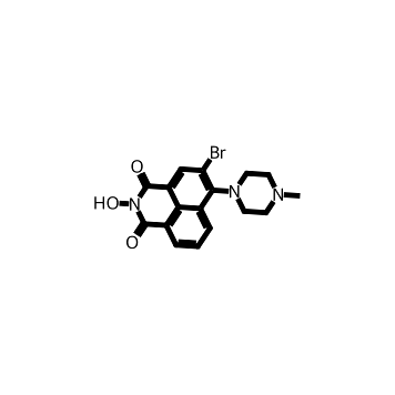 CN1CCN(c2c(Br)cc3c4c(cccc24)C(=O)N(O)C3=O)CC1